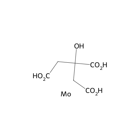 O=C(O)CC(O)(CC(=O)O)C(=O)O.[Mo]